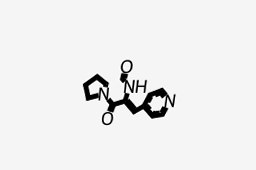 O=CNC(=Cc1ccncc1)C(=O)N1CCCC1